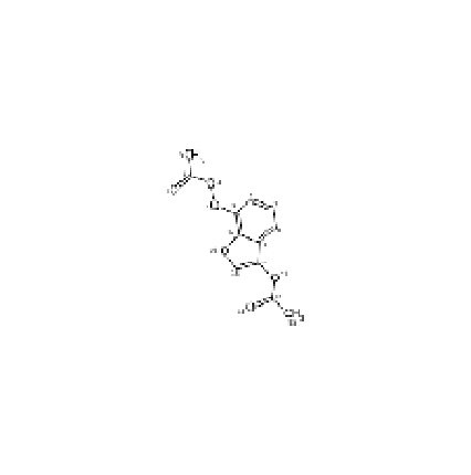 CC(=O)OOc1cccc2c(OC(C)=O)coc12